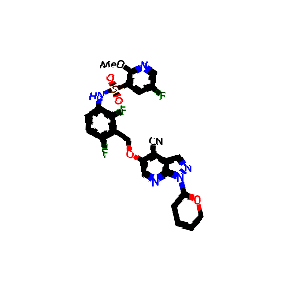 COc1ncc(F)cc1S(=O)(=O)Nc1ccc(F)c(COc2cnc3c(cnn3C3CCCCO3)c2C#N)c1F